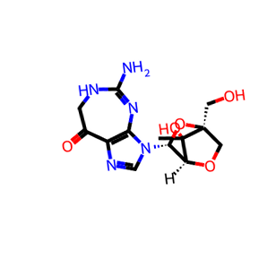 CC1(O)[C@H]2OC[C@]1(CO)O[C@H]2n1cnc2c1N=C(N)NCC2=O